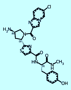 CNC(=O)[C@H](Cc1ccc(O)cc1)NC(=O)c1csc([C@@H]2C[C@@H](N)CN2C(=O)c2cn3cc(Cl)ccc3n2)n1